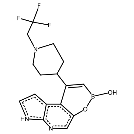 OB1C=C(C2CCN(CC(F)(F)F)CC2)c2c(cnc3[nH]ccc23)O1